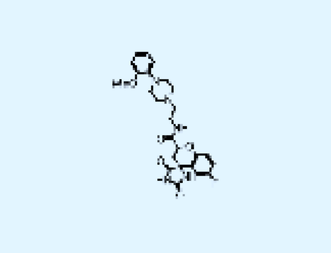 COc1ccccc1N1CCN(CCNC(=O)[C@@H]2C[C@]3(NC(=O)NC3=O)c3cc(F)ccc3O2)CC1